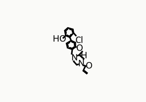 C=CC(=O)N1CCN2Cc3ccc(-c4c(C)cccc4O)c(Cl)c3OC[C@H]2C1